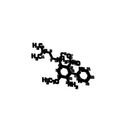 COc1cc(N(C)CCN(C)C)c([N+](=O)[O-])c(-c2ncccn2)c1N